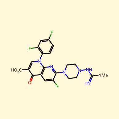 CNC(=N)NN1CCN(c2nc3c(cc2F)c(=O)c(C(=O)O)cn3-c2ccc(F)cc2F)CC1